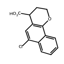 O=C(O)C1CCOc2c1cc(Cl)c1ccccc21